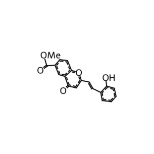 COC(=O)c1ccc2oc(C=Cc3ccccc3O)cc(=O)c2c1